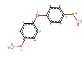 OSc1ccc(Oc2ccc(SO)cc2)cc1